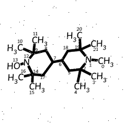 CN1C(C)(C)CC(C2CC(C)(C)N(O)C(C)(C)C2)CC1(C)C